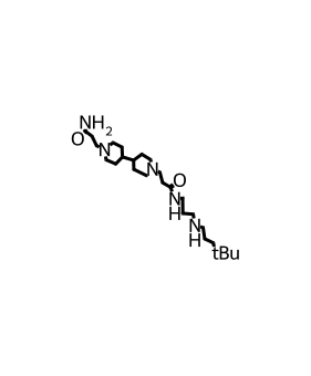 CC(C)(C)CCCNCCCNC(=O)CCN1CCC(C2CCN(CCC(N)=O)CC2)CC1